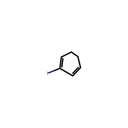 IC1=CCCC=C1